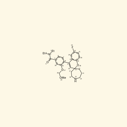 CCN(CC)C(=O)c1ccc(C2=CC3(CCCNCC3)Oc3ccc(F)cc32)c(OCOC)c1